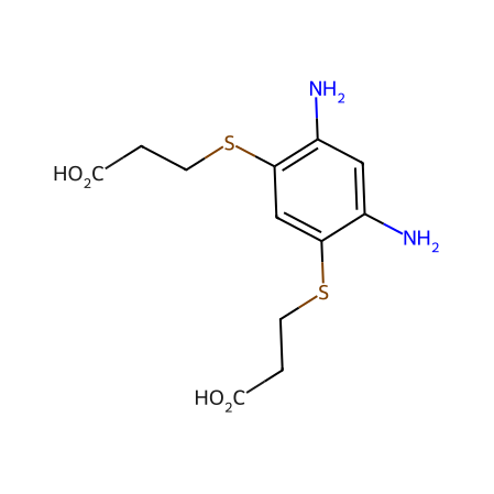 Nc1cc(N)c(SCCC(=O)O)cc1SCCC(=O)O